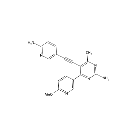 COc1ccc(-c2nc(N)nc(C)c2C#Cc2ccc(N)nc2)cn1